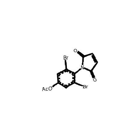 CC(=O)Oc1cc(Br)c(N2C(=O)C=CC2=O)c(Br)c1